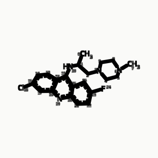 CC(CN1CCN(C)CC1)Nc1c2ccc(Cl)cc2nc2ccc(F)cc12